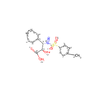 Cc1ccc(S(=O)(=O)N[C@@H](c2ccccc2)[C@@H](O)C(=O)O)cc1